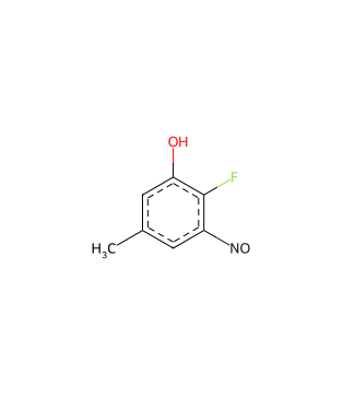 Cc1cc(O)c(F)c(N=O)c1